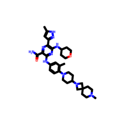 Cc1cc(-c2nc(C(N)=O)c(Nc3ccc(N4CCC(N5CC6(CCN(C)CC6)C5)CC4)c(C)c3)nc2NC2CCOCC2)n[nH]1